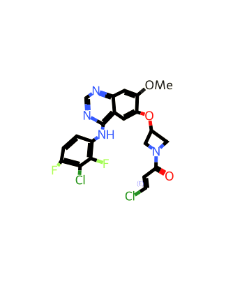 COc1cc2ncnc(Nc3ccc(F)c(Cl)c3F)c2cc1OC1CN(C(=O)/C=C/Cl)C1